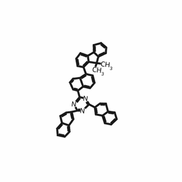 CC1(C)c2ccccc2-c2cccc(-c3cccc4c(-c5nc(-c6ccc7ccccc7c6)nc(-c6ccc7ccccc7c6)n5)cccc34)c21